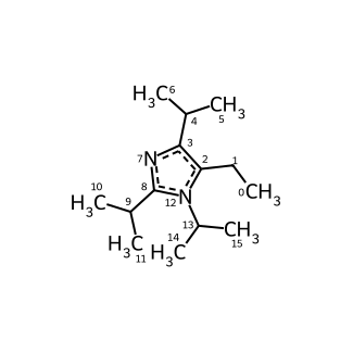 CCc1c(C(C)C)nc(C(C)C)n1C(C)C